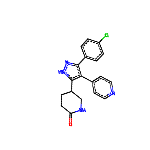 O=C1CCC(c2[nH]nc(-c3ccc(Cl)cc3)c2-c2ccncc2)CN1